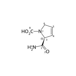 NC(=O)[C@@H]1C=CCN1C(=O)O